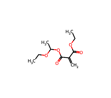 C=C(C(=O)OCC)C(=O)OC(C)OCC